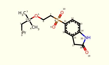 CC(C)C[Si](C)(C)OCCS(=O)(=O)c1ccc2c(c1)CC(=O)N2